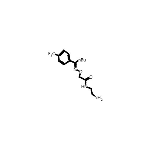 CCCC/C(=N\OCC(=O)NCCN)c1ccc(C(F)(F)F)cc1